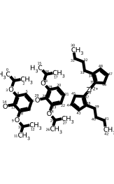 CC(C)Oc1cccc(OC(C)C)c1[O-].CC(C)Oc1cccc(OC(C)C)c1[O-].CCCCC1=[C]([Zr+2][C]2=C(CCCC)C=CC2)CC=C1